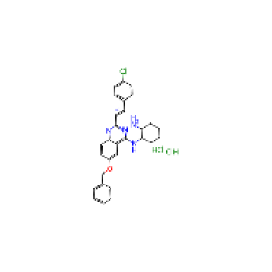 Cl.Cl.NC1CCCCC1Nc1nc(/C=C/c2ccc(Cl)cc2)nc2ccc(OCc3ccccc3)cc12